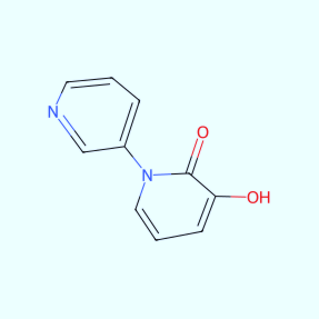 O=c1c(O)cccn1-c1cccnc1